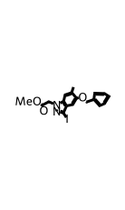 COC(=O)Cn1nc(I)c2cc(OCc3ccccc3)c(C)cc21